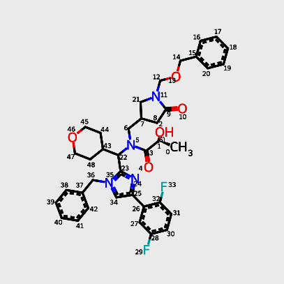 C[C@H](O)C(=O)N(CC1CC(=O)N(COCc2ccccc2)C1)C(c1nc(-c2cc(F)ccc2F)cn1Cc1ccccc1)C1CCOCC1